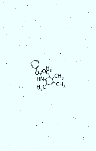 Cc1cc(C)c(NC(=O)Oc2ccccc2)c(C)c1C